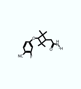 [2H]NC(=O)CC1C(C)(C)C(Oc2ccc(C#N)c(F)c2)C1(C)C